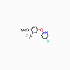 COc1ccc(Oc2ccc(F)cn2)cc1[N+](=O)[O-]